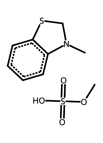 CN1CSc2ccccc21.COS(=O)(=O)O